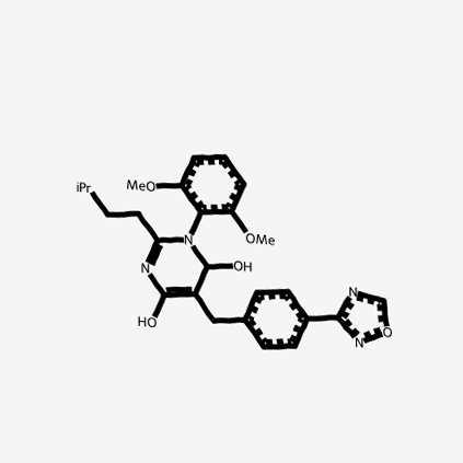 COc1cccc(OC)c1N1C(CCC(C)C)=NC(O)=C(Cc2ccc(-c3ncon3)cc2)C1O